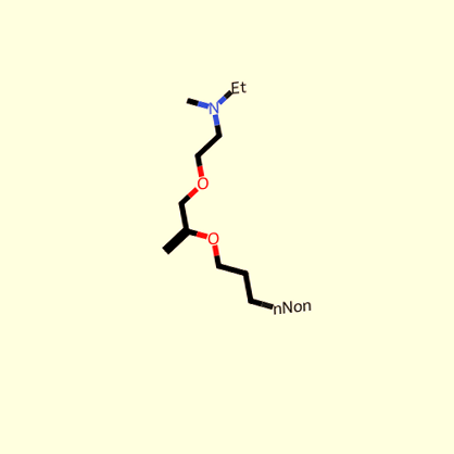 C=C(COCCN(C)CC)OCCCCCCCCCCCC